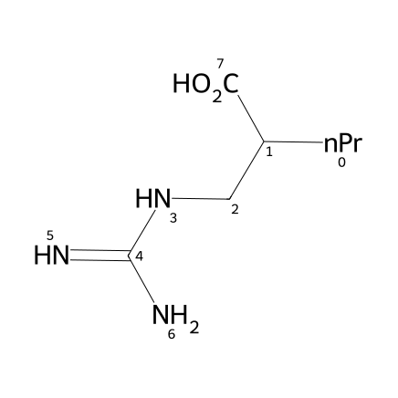 CCCC(CNC(=N)N)C(=O)O